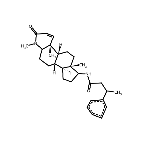 CC(CC(=O)NC1CC[C@H]2[C@@H]3CCC4N(C)C(=O)C=C[C@]4(C)[C@@H]3CC[C@]12C)c1ccccc1